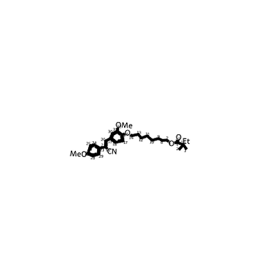 CCC(C)(C)C(=O)OCCCCCCCCOc1ccc(/C=C(\C#N)c2ccc(OC)cc2)cc1OC